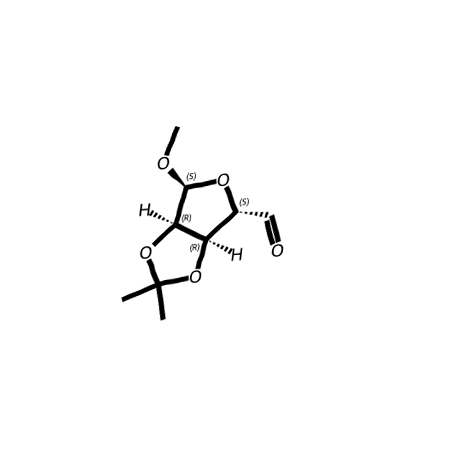 CO[C@H]1O[C@H](C=O)[C@H]2OC(C)(C)O[C@@H]12